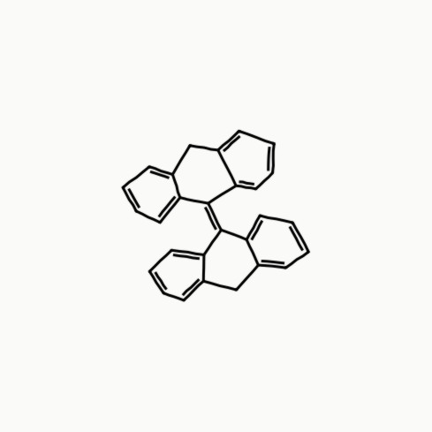 c1ccc2c(c1)Cc1ccccc1C2=C1c2ccccc2Cc2ccccc21